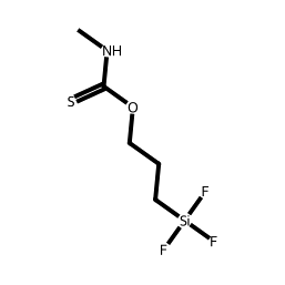 CNC(=S)OCCC[Si](F)(F)F